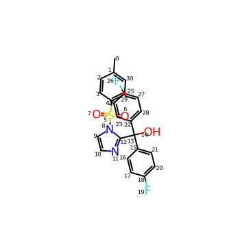 Cc1ccc(S(=O)(=O)n2ccnc2C(O)(c2ccc(F)cc2)c2ccc(F)cc2)cc1